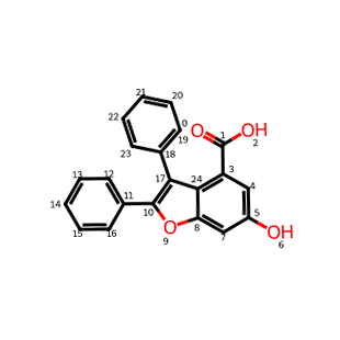 O=C(O)c1cc(O)cc2oc(-c3ccccc3)c(-c3ccccc3)c12